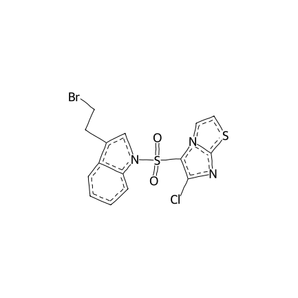 O=S(=O)(c1c(Cl)nc2sccn12)n1cc(CCBr)c2ccccc21